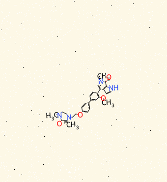 COc1cc(-c2ccc(OCCN3CCN(C)C(=O)[C@H]3C)cc2)ccc1-c1cn(C)c(=O)c2[nH]ccc12